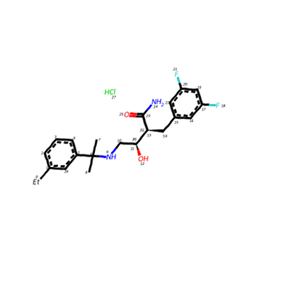 CCc1cccc(C(C)(C)NC[C@H](O)[C@H](Cc2cc(F)cc(F)c2)C(N)=O)c1.Cl